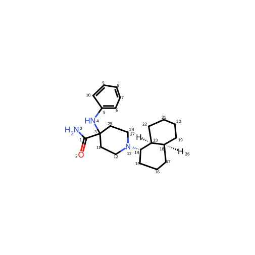 NC(=O)C1(Nc2ccccc2)CCN([C@H]2CCC[C@@H]3CCCC[C@@H]32)CC1